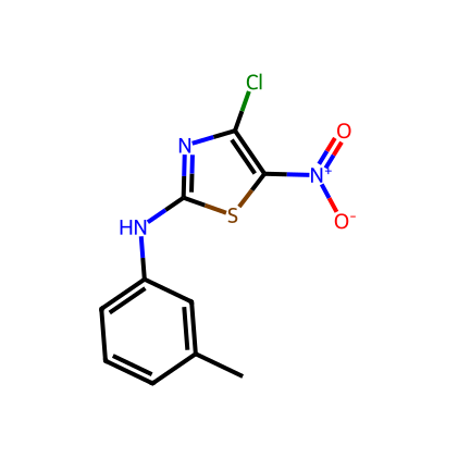 Cc1cccc(Nc2nc(Cl)c([N+](=O)[O-])s2)c1